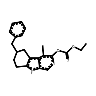 CCOC(=O)Oc1ncc2[nH]c3c(c2c1C)CC(Cc1ccccc1)CC3